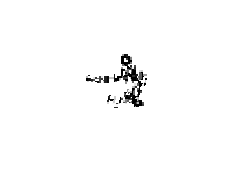 CC(=O)NCCNc1nc(-c2ccccc2)nc2[nH]c(C(=O)N3CCC(OC(N)=O)(N4CCCC4)CC3)cc12